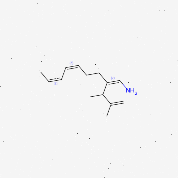 C=C(C)C(C)/C(=C\N)CC/C=C\C=C/C